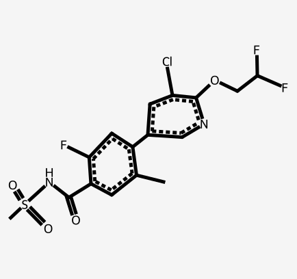 Cc1cc(C(=O)NS(C)(=O)=O)c(F)cc1-c1cnc(OCC(F)F)c(Cl)c1